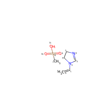 C=CN1C=NCC1.CS(=O)(=O)O